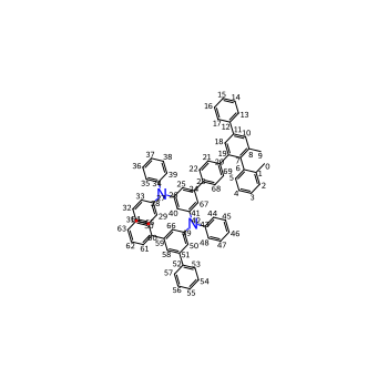 Cc1ccccc1-c1c(C)cc(-c2ccccc2)cc1-c1ccc(-c2cc(N(c3ccccc3)c3ccccc3)cc(N(c3ccccc3)c3cc(-c4ccccc4)cc(-c4ccccc4)c3)c2)cc1